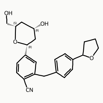 N#Cc1ccc([C@H]2C[C@@H](O)C[C@@H](CO)O2)cc1Cc1ccc(C2CCCO2)cc1